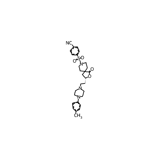 Cc1ccc(N2CCN(CC[C@@H]3CC4(CCN(S(=O)(=O)c5ccc(C#N)cc5)CC4)C(=O)O3)CC2)cc1